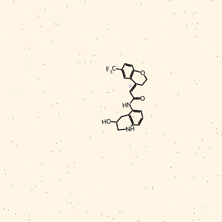 O=C(/C=C1\CCOc2ccc(C(F)(F)F)cc21)Nc1cccc2c1CC(O)CN2